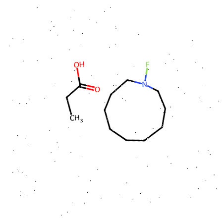 CCC(=O)O.FN1CCCCCCCCC1